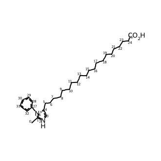 Cc1[nH]cc(CCCCCCCCCCCCCCCCCCCCC(=O)O)[n+]1-c1ccccc1